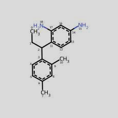 CCC(c1ccc(C)cc1C)c1ccc(N)cc1N